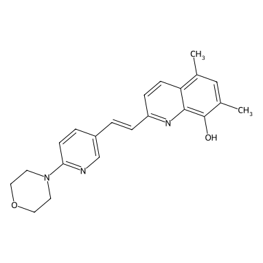 Cc1cc(C)c2ccc(C=Cc3ccc(N4CCOCC4)nc3)nc2c1O